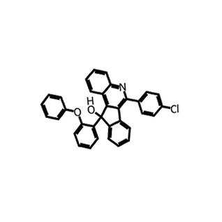 OC1(c2ccccc2Oc2ccccc2)c2ccccc2-c2c(-c3ccc(Cl)cc3)nc3ccccc3c21